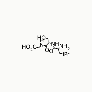 CC(C)C[C@H](N)C(=O)N[C@@H](CO)C(=O)NCC(=O)O